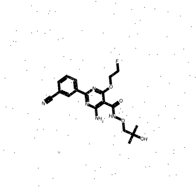 CC(C)(O)CONC(=O)c1c(N)nc(-c2cccc(C#N)c2)nc1OCCF